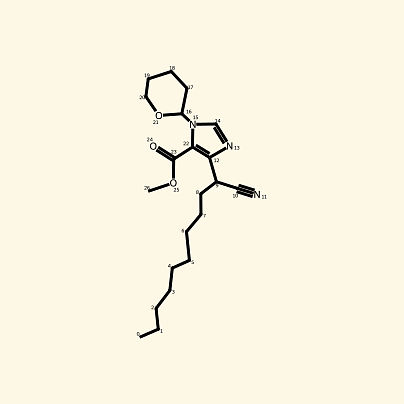 CCCCCCCCCC(C#N)c1ncn(C2CCCCO2)c1C(=O)OC